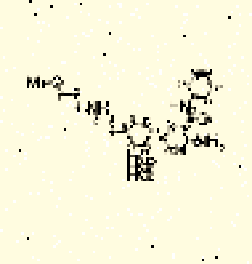 COCCCNCCCc1ccc(-c2cnc(N)c(C(=O)Nc3cccnc3)n2)cc1.Cl.Cl.Cl